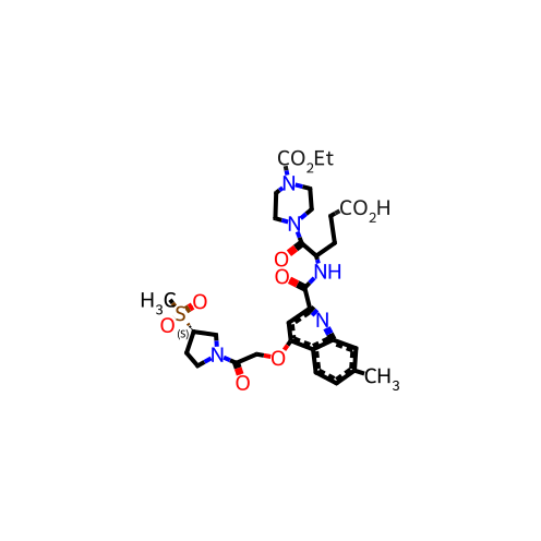 CCOC(=O)N1CCN(C(=O)C(CCC(=O)O)NC(=O)c2cc(OCC(=O)N3CC[C@H](S(C)(=O)=O)C3)c3ccc(C)cc3n2)CC1